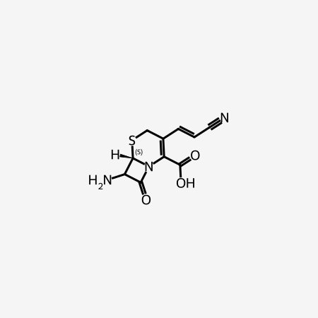 N#CC=CC1=C(C(=O)O)N2C(=O)C(N)[C@@H]2SC1